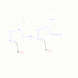 NN1NN=C(C(=O)[O-])N1N.NN1NN=C(C(=O)[O-])N1N.[Zn+2]